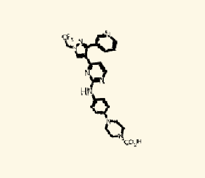 O=C(O)N1CCN(c2ccc(Nc3nccc(-c4cn(CC(F)(F)F)nc4-c4cccnc4)n3)cc2)CC1